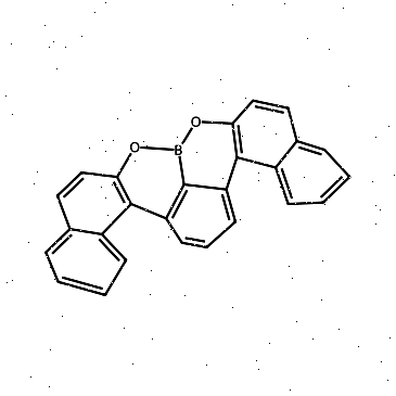 c1cc2c3c(c1)-c1c(ccc4ccccc14)OB3Oc1ccc3ccccc3c1-2